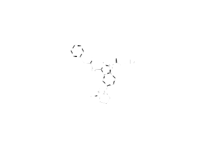 CC(C)(C)OC(=O)n1nc(NC(=O)Cc2ccccc2)c2cc(N3CCCS3(=O)=O)ccc21